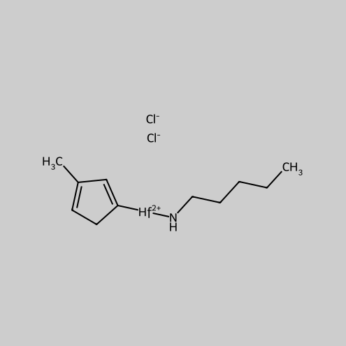 CCCCC[NH][Hf+2][C]1=CC(C)=CC1.[Cl-].[Cl-]